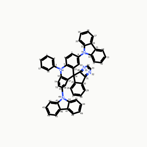 c1ccc(N2c3ccc(-n4c5ccccc5c5ccccc54)cc3C3(c4ccccc4-c4nccnc43)c3cc(-n4c5ccccc5c5ccccc54)ccc32)cc1